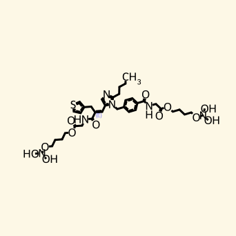 CCCCc1ncc(/C=C(\Cc2ccsc2)C(=O)NCC(=O)OCCCCON(O)O)n1Cc1ccc(C(=O)NCC(=O)OCCCCON(O)O)cc1